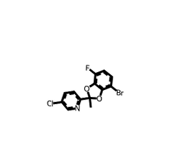 CC1(c2ccc(Cl)cn2)Oc2c(F)ccc(Br)c2O1